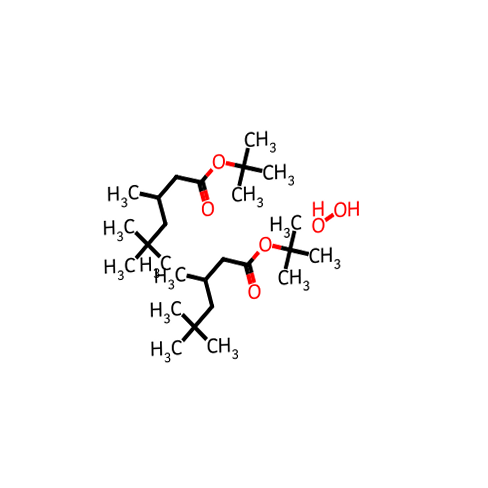 CC(CC(=O)OC(C)(C)C)CC(C)(C)C.CC(CC(=O)OC(C)(C)C)CC(C)(C)C.OO